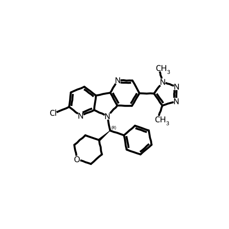 Cc1nnn(C)c1-c1cnc2c3ccc(Cl)nc3n([C@@H](c3ccccc3)C3CCOCC3)c2c1